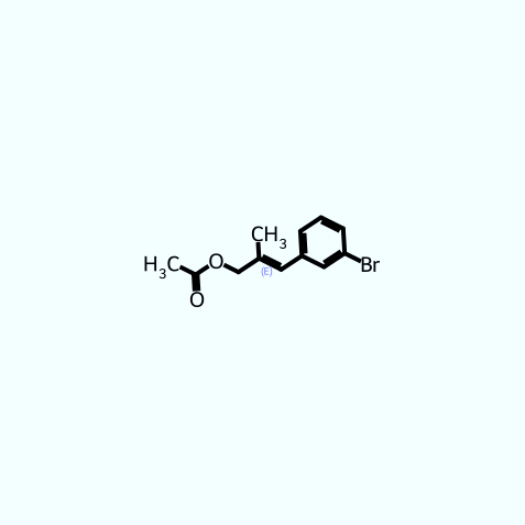 CC(=O)OC/C(C)=C/c1cccc(Br)c1